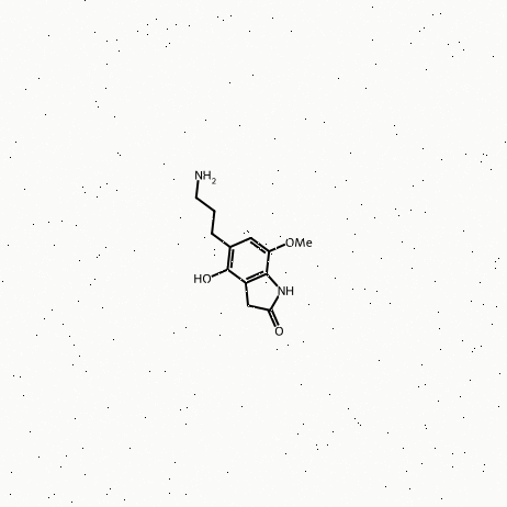 COc1cc(CCCN)c(O)c2c1NC(=O)C2